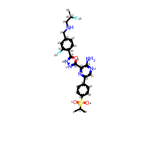 CC(C)S(=O)(=O)c1ccc(-c2cnc(N)c(-c3nnc(-c4ccc(CNC[C@@H](C)F)cc4F)o3)n2)cc1